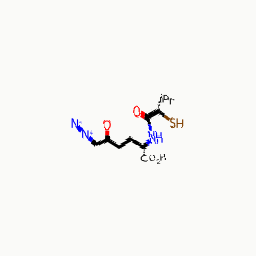 CC(C)[C@H](S)C(=O)N[C@@H](CCC(=O)C=[N+]=[N-])C(=O)O